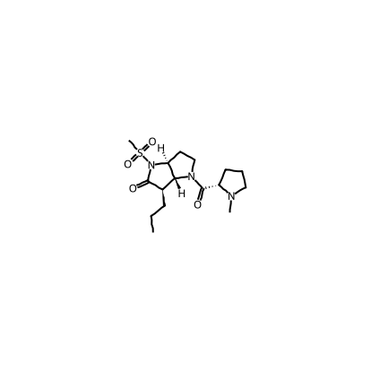 CCC[C@H]1C(=O)N(S(C)(=O)=O)[C@H]2CCN(C(=O)[C@@H]3CCCN3C)[C@H]12